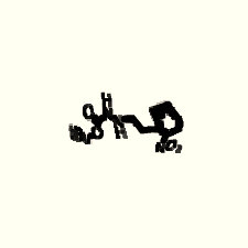 CC(C)(C)OC(=O)NNCCc1ccccc1[N+](=O)[O-]